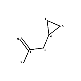 C=C(C)[CH]C1CC1